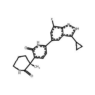 C[C@]1(c2ccc(-c3cc(F)c4n[nH]c(C5CC5)c4c3)[nH]c2=O)CCCNC1=O